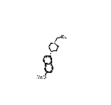 CCC(C)C[C@H]1CC[C@H](c2ccc3cc(OC)ccc3c2)CC1